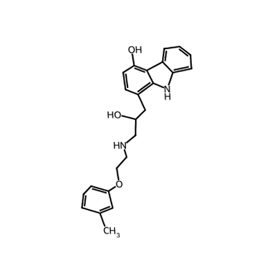 Cc1cccc(OCCNCC(O)Cc2ccc(O)c3c2[nH]c2ccccc23)c1